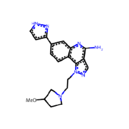 COC1CCN(CCn2ncc3c(N)nc4cc(-c5cc[nH]n5)ccc4c32)C1